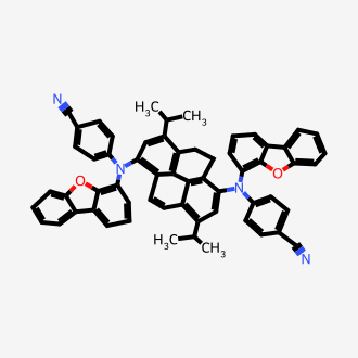 CC(C)c1cc(N(c2ccc(C#N)cc2)c2cccc3c2oc2ccccc23)c2ccc3c(C(C)C)cc(N(c4ccc(C#N)cc4)c4cccc5c4oc4ccccc45)c4c3c2c1CC4